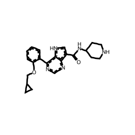 O=C(NC1CCNCC1)c1c[nH]c2c(-c3ccccc3OCC3CC3)ncnc12